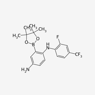 CC1(C)OB(c2cc(N)ccc2Nc2ccc(C(F)(F)F)cc2F)OC1(C)C